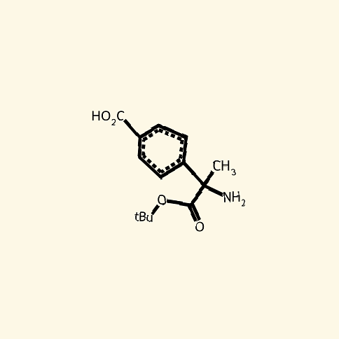 CC(C)(C)OC(=O)C(C)(N)c1ccc(C(=O)O)cc1